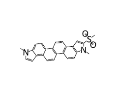 Cn1ccc2c3ccc4c(ccc5c4ccc4c5cc(S(C)(=O)=O)n4C)c3ccc21